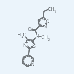 CCc1cc(C(=O)N(C)c2sc(-c3cccnc3)nc2C)no1